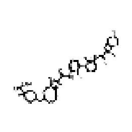 Cc1c(NC(=O)c2nc3c(n2C)CCN(C)C3)cccc1-c1cccc(NC(=O)c2nc3c(n2C)CCC(CC2CCC(C)(C(=O)O)CC2)CCC3)c1Cl